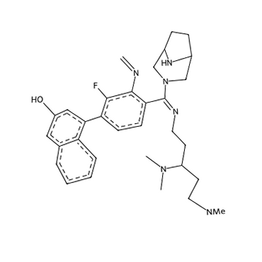 C=Nc1c(/C(=N\CCC(CCNC)N(C)C)N2CC3CCC(C2)N3)ccc(-c2cc(O)cc3ccccc23)c1F